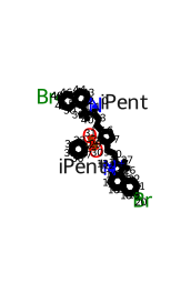 CCCC(C)N1/C(=C/C=C2\CCC(/C=C/C3=[N+](C(C)CCC)c4ccc5cc(Br)ccc5c4C3(C)C)=C2S(=O)(=O)c2ccccc2)C(C)(C)c2c1ccc1cc(Br)ccc21